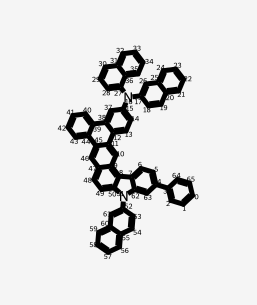 c1ccc(-c2ccc3c4c5cc6c7ccc(N(c8ccc9ccccc9c8)c8cccc9ccccc89)cc7c7ccccc7c6cc5ccc4n(-c4ccc5ccccc5c4)c3c2)cc1